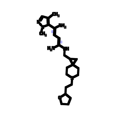 Cc1cnn(C)c1/C(N)=C/C=C(\N)NCC1CC12CCN(CCC1CCCO1)CC2